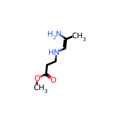 COC(=O)CCNC=C(C)N